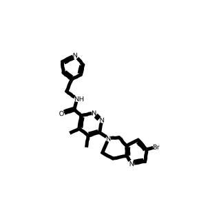 Cc1c(C(=O)NCc2ccncc2)nnc(N2CCc3ncc(Br)cc3C2)c1C